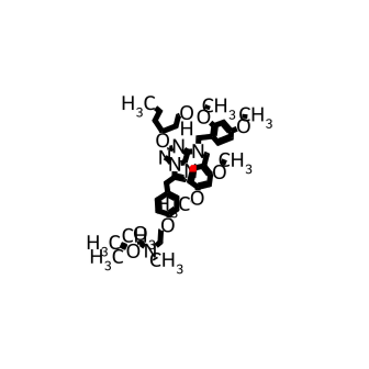 CCCC(CCO)Oc1nc(N(Cc2ccc(OC)cc2OC)Cc2ccc(OC)cc2OC)c2ncc(Cc3ccc(OCCN(C)C(=O)OC(C)(C)C)cc3)n2n1